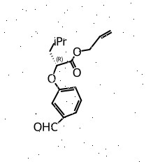 C=CCOC(=O)[C@@H](CC(C)C)Oc1cccc(C=O)c1